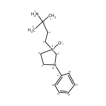 CC(C)(N)CC[N+]1([O-])CCN(c2ccccc2)C1